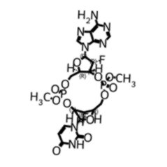 COP1(=O)OC[C@H]2O[C@@H](n3cnc4c(N)ncnc43)[C@H](F)[C@@H]2OP(=O)(OC)OC[C@H]2O[C@@H](n3ccc(=O)[nH]c3=O)[C@H](O1)[C@@H]2F